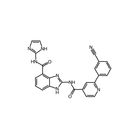 N#Cc1cccc(-c2cc(C(=O)Nc3nc4c(C(=O)Nc5ncc[nH]5)cccc4[nH]3)ccn2)c1